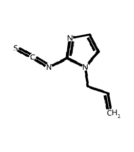 C=CCn1ccnc1N=C=S